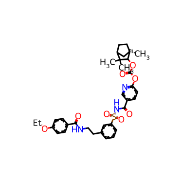 CCOc1ccc(C(=O)NCCc2cccc(S(=O)(=O)NC(=O)c3ccc(OC(=O)OC4C(C)(C)C5CC[C@]4(C)C5)nc3)c2)cc1